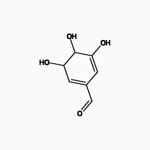 O=CC1=CC(O)C(O)C(O)=C1